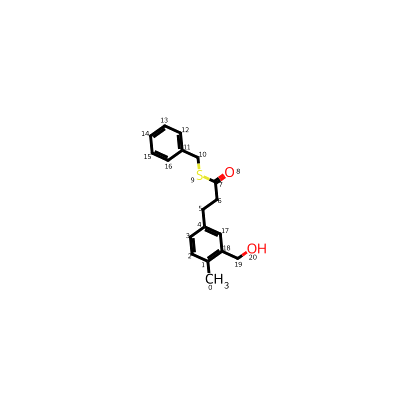 Cc1ccc(CCC(=O)SCc2ccccc2)cc1CO